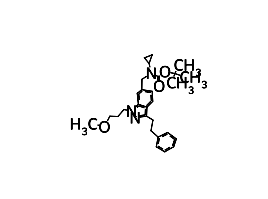 COCCCn1nc(CCc2ccccc2)c2ccc(CN(C(=O)OC(C)(C)C)C3CC3)cc21